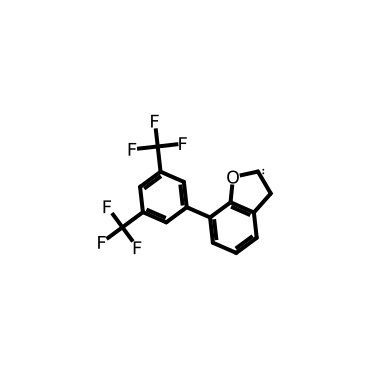 FC(F)(F)c1cc(-c2cccc3c2O[C]C3)cc(C(F)(F)F)c1